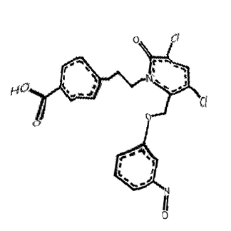 O=Nc1cccc(OCc2c(Cl)cc(Cl)c(=O)n2CCc2ccc(C(=O)O)cc2)c1